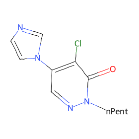 CCCCCn1ncc(-n2ccnc2)c(Cl)c1=O